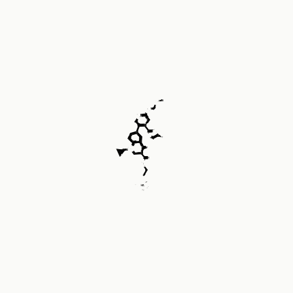 CCNC(=O)Nc1cc(-c2nc(C(F)(F)F)cs2)c(-c2ccc3c(c2)c(=O)c(C(=O)NCCOP(=O)(O)O)cn3C2CC2)cn1